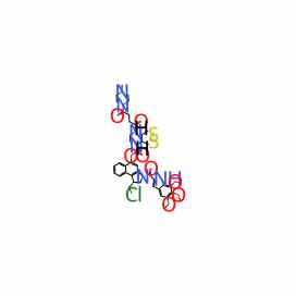 COc1cc2cc(C(=O)N3C[C@@H](CCl)c4c3cc(OC(=O)N3CCN(C(=O)CCC(=O)N5CCN(C)CC5)[C@H]5CSSC[C@H]53)c3ccccc43)[nH]c2c(OC)c1OC